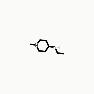 CCNC1CCN(C)CC1